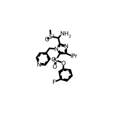 CC(C)c1nc(C(N)[S+](C)[O-])n(Cc2ccncc2)c1S(=O)(=O)Oc1cccc(F)c1